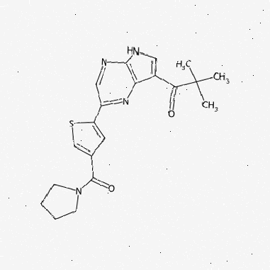 CC(C)(C)C(=O)c1c[nH]c2ncc(-c3cc(C(=O)N4CCCC4)cs3)nc12